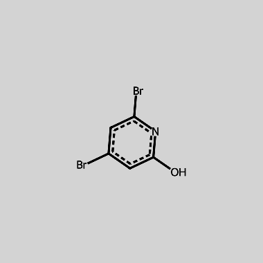 Oc1cc(Br)cc(Br)n1